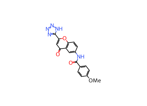 COc1ccc(C(=O)Nc2ccc3oc(-c4nnn[nH]4)cc(=O)c3c2)cc1